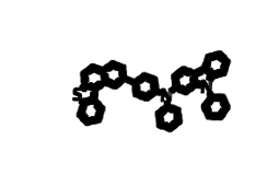 c1ccc(N(c2ccc(-c3ccc4ccc5sc6ccccc6c5c4c3)cc2)c2ccc3c4ccccc4n(-c4ccccc4)c3c2)cc1